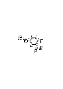 CC(C)(C)Oc1ccc(F)c(C(F)F)c1